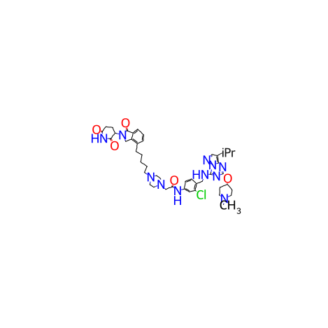 CC(C)c1cnn2c(NCc3ccc(NC(=O)CN4CCN(CCCCCc5cccc6c5CN(C5CCC(=O)NC5=O)C6=O)CC4)cc3Cl)nc(OC3CCN(C)CC3)nc12